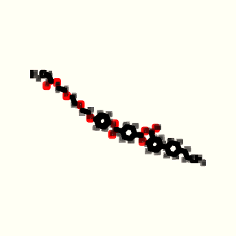 C=CC(=O)OCCOCCOCCOc1ccc(OC(=O)C2CCC(C(=O)Oc3ccc(C4CCC(CCC)CC4)cc3C=O)CC2)cc1